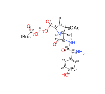 CC(=O)OC1C(C)C(C(=O)OCOC(=O)C(C)(C)C)N2C(=O)C(NC(=O)C(N)c3ccc(O)cc3)[C@@H]12